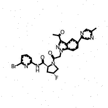 CC(=O)c1nn(CC(=O)N2C[C@H](F)C[C@H]2C(=O)Nc2cccc(Br)n2)c2ccc(-c3cnc(C)cn3)cc12